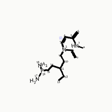 C=CN(/C=C\C(=C)NC)CCC(CC)CCP(N)N